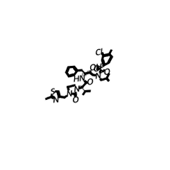 Cc1nc(CN2CCN([C@H](C(=O)N[C@@H](Cc3ccccc3)[C@@H](O)CN(CC(C)C)S(=O)(=O)c3ccc(C)c(Cl)c3)C(C)C)C2=O)cs1